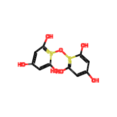 OC1=CC(O)=S(OS2=C(O)C=C(O)C=C2O)C(O)=C1